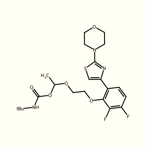 CC(OCCOc1c(-c2csc(N3CCOCC3)n2)ccc(F)c1F)OC(=O)NC(C)(C)C